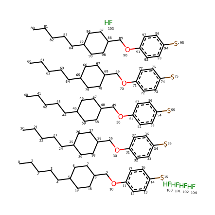 CCCCCC1CCC(COc2ccc([S])cc2)CC1.CCCCCC1CCC(COc2ccc([S])cc2)CC1.CCCCCC1CCC(COc2ccc([S])cc2)CC1.CCCCCC1CCC(COc2ccc([S])cc2)CC1.CCCCCC1CCC(COc2ccc([S])cc2)CC1.F.F.F.F.F